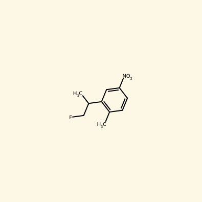 C[C](CF)c1cc([N+](=O)[O-])ccc1C